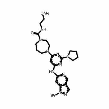 COCCNC(=O)N1CCCN(c2cc(Nc3cc4c(cn3)cnn4C(C)C)nc(N3CCCC3)n2)CC1